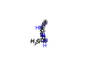 C[SiH2]c1cc(-c2cn(Cc3ccc4cc(CN5CCC6(CCC6)C5)[nH]c4c3)nn2)c2cn[nH]c2c1